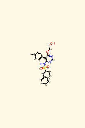 Cc1ccc(-c2c(NS(=O)(=O)c3ccc4ccccc4c3)ncnc2OCCO)cc1